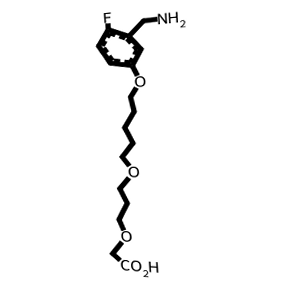 NCc1cc(OCCCCCOCCCOCC(=O)O)ccc1F